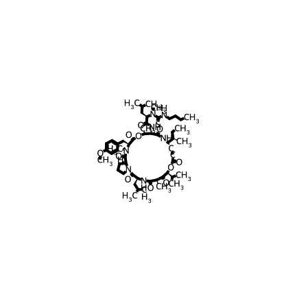 CCCCNC(=S)N(C)[C@H](CC(C)C)C(=O)N[C@@H]1C(=O)N[C@H]([C@@H](C)CC)CCC(=O)O[C@@H](C(C)C)C(=O)[C@H](C)C(=O)N[C@@H](CC(C)C)C(=O)N2CCC[C@H]2C(=O)N(C)[C@@H](Cc2ccc(OC)cc2)C(=O)O[C@@H]1C